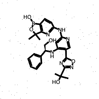 CC(C)(O)c1noc(-c2cnc(Nc3ccc4c(n3)C(C)(C)OB4O)cc2N[C@H](CO)c2ccccc2)n1